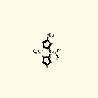 CCCCC1=CC[C]([Zr+2]([C]2=CC=CC2)=[Si](C)C)=C1.[Cl-].[Cl-]